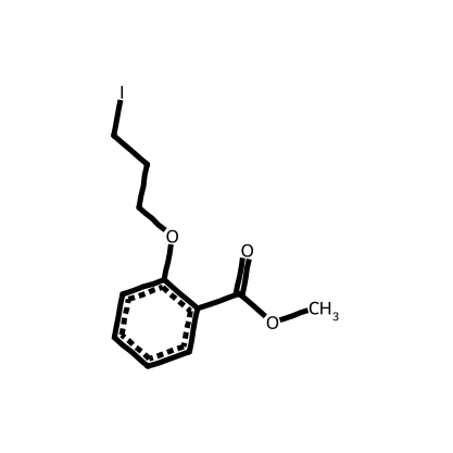 COC(=O)c1ccccc1OCCCI